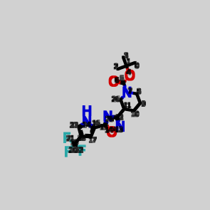 CC(C)(C)OC(=O)N1CCCC(c2noc(-c3cc(C(F)(F)F)c[nH]3)n2)C1